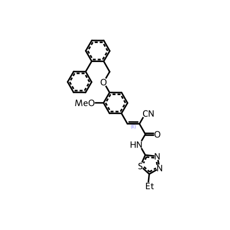 CCc1nnc(NC(=O)/C(C#N)=C/c2ccc(OCc3ccccc3-c3ccccc3)c(OC)c2)s1